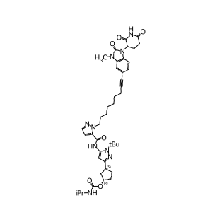 CC(C)NC(=O)O[C@@H]1CC[C@H](c2cc(NC(=O)c3ccnn3CCCCCCCC#Cc3ccc4c(c3)n(C)c(=O)n4C3CCC(=O)NC3=O)n(C(C)(C)C)n2)C1